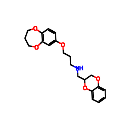 c1ccc2c(c1)OCC(CNCCCOc1ccc3c(c1)OCCCO3)O2